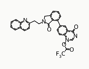 O=C1c2c(cccc2-c2ccc3c(c2)c(=O)ncn3OC(=O)C(F)(F)F)CN1CCc1ccc2ccccc2n1